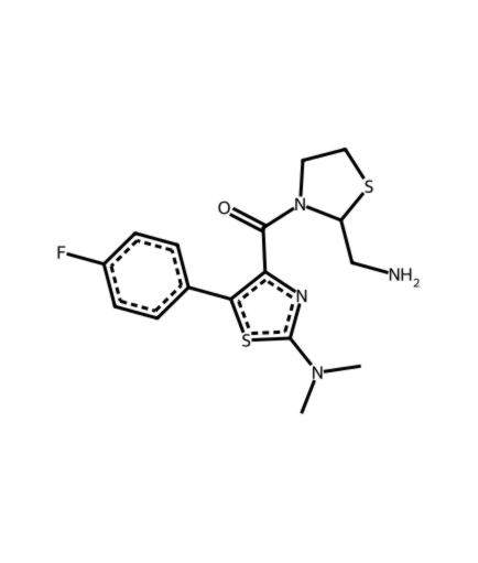 CN(C)c1nc(C(=O)N2CCSC2CN)c(-c2ccc(F)cc2)s1